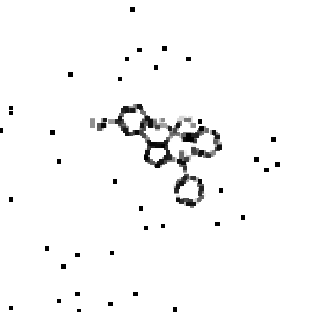 Cc1cccc(C2=C(C(C)(C)C)C([SiH](c3ccccc3)c3ccccc3)=CC2)c1